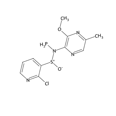 COc1nc(C)cnc1N(P)[S+]([O-])c1cccnc1Cl